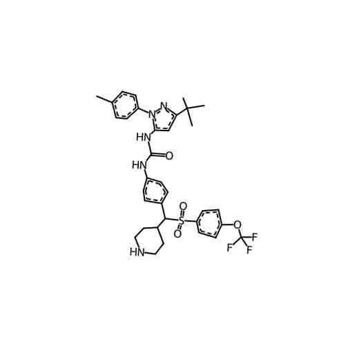 Cc1ccc(-n2nc(C(C)(C)C)cc2NC(=O)Nc2ccc(C(C3CCNCC3)S(=O)(=O)c3ccc(OC(F)(F)F)cc3)cc2)cc1